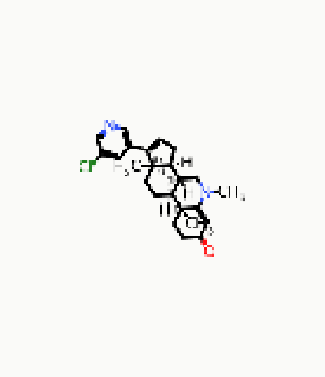 CN1C[C@@H]2[C@H](CC[C@]3(C)C(c4cncc(Cl)c4)=CC[C@@H]23)[C@@]2(C)CCC(=O)C=C12